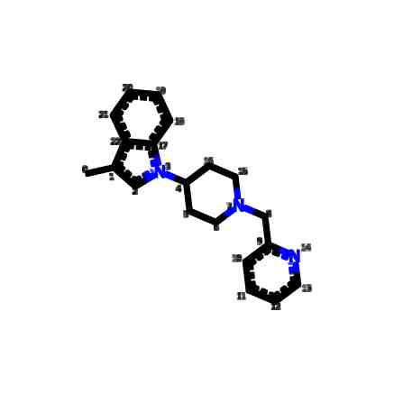 Cc1cn(C2CCN(Cc3ccccn3)CC2)c2ccccc12